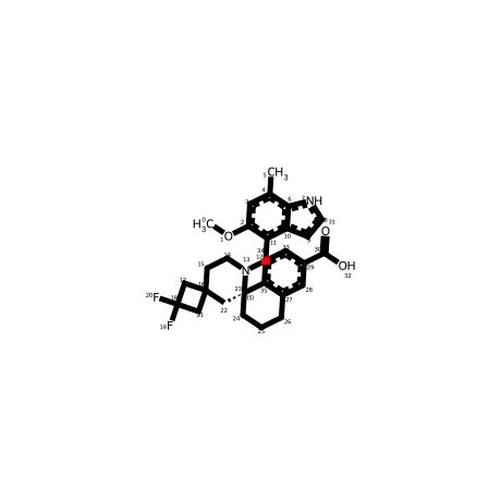 COc1cc(C)c2[nH]ccc2c1CN1CCC2(CC(F)(F)C2)C[C@]12CCCc1cc(C(=O)O)ccc12